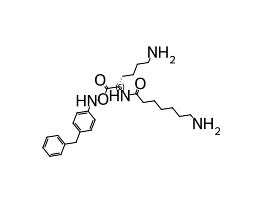 NCCCCCCC(=O)N[C@@H](CCCCN)C(=O)ONc1ccc(Cc2ccccc2)cc1